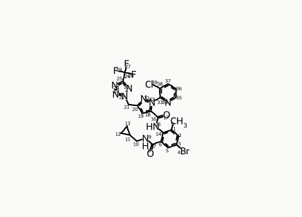 Cc1cc(Br)cc(C(=O)NCC2CC2)c1NC(=O)c1cc(Cn2nnc(C(F)(F)F)n2)nn1-c1ncccc1Cl